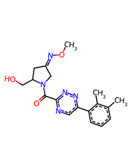 CO/N=C1/CC(CO)N(C(=O)c2ncc(-c3cccc(C)c3C)nn2)C1